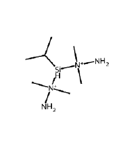 CC(C)[SiH]([N+](C)(C)N)[N+](C)(C)N